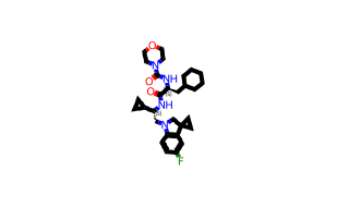 O=C(N[C@H](CN1CC2(CC2)c2cc(F)ccc21)C1CC1)[C@H](CC1CCCCC1)NC(=O)N1CCOCC1